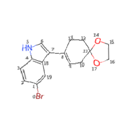 Brc1ccc2[nH]cc(C3=CCC4(CC3)OCCO4)c2c1